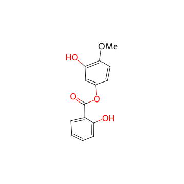 COc1ccc(OC(=O)c2ccccc2O)cc1O